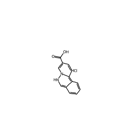 Cl.O=C(O)C1=CN2NC=c3ccccc3=C2C=C1